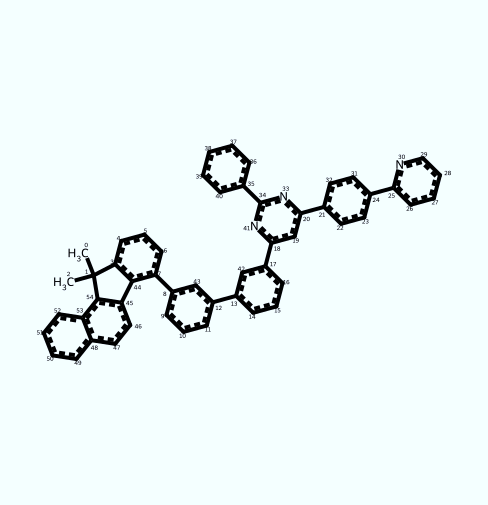 CC1(C)c2cccc(-c3cccc(-c4cccc(-c5cc(-c6ccc(-c7ccccn7)cc6)nc(-c6ccccc6)n5)c4)c3)c2-c2ccc3ccccc3c21